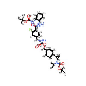 CC(C)N(C(=O)OC(C)(C)C)[C@H]1CC1c1ccc(COC(=O)NCc2ccc(C(=O)Nc3ccccc3NC(=O)OC(C)(C)C)c(F)c2)cc1